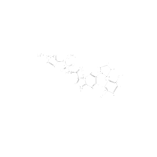 CN(c1ccn(C)n1)S(=O)(=O)NC(=O)c1cnc2ccc(N3CCC[C@@H]3c3cc(F)ccc3F)cn12